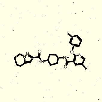 O=C(NC1CCC(NC(=O)c2cc(F)cnc2Oc2cccc(I)c2)CC1)c1cc2n(n1)CCCC2